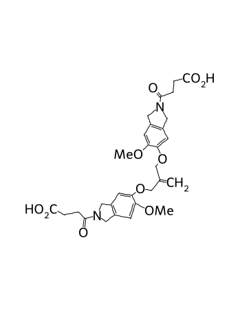 C=C(COc1cc2c(cc1OC)CN(C(=O)CCC(=O)O)C2)COc1cc2c(cc1OC)CN(C(=O)CCC(=O)O)C2